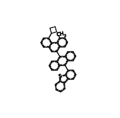 Cc1cccc2c(-c3c4ccccc4c(-c4cccc5c4sc4ccccc45)c4ccccc34)cc3cccc(C4CCC4)c3c12